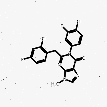 Cn1cnc2c(=O)n(-c3ccc(Cl)c(F)c3)c(Cc3ccc(F)cc3Cl)nc21